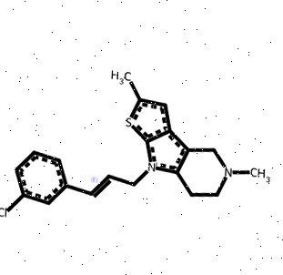 Cc1cc2c3c(n(C/C=C/c4cccc(Cl)c4)c2s1)CCN(C)C3